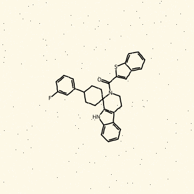 O=C(c1cc2ccccc2s1)N1CCc2c([nH]c3ccccc23)C12CCC(c1cccc(F)c1)CC2